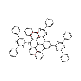 c1ccc(-c2cc(N3c4ccccc4N(c4c(-c5ccccc5)cc(-c5nc(-c6ccccc6)nc(-c6ccccc6)n5)cc4-c4nc(-c5ccccc5)nc(-c5ccccc5)n4)c4ccccc43)nc(-c3ccccc3)n2)cc1